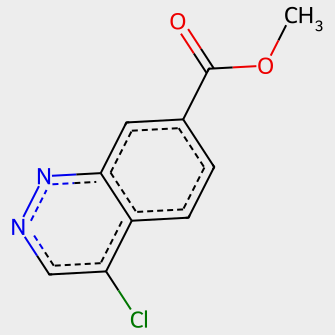 COC(=O)c1ccc2c(Cl)cnnc2c1